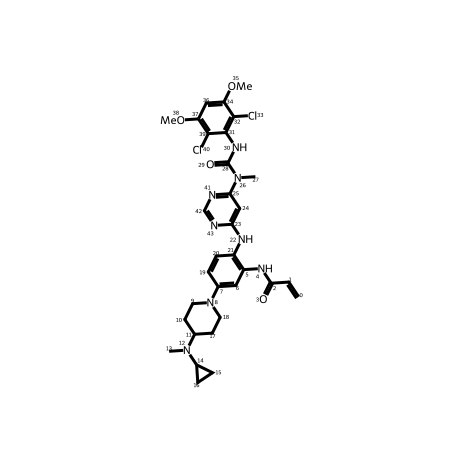 C=CC(=O)Nc1cc(N2CCC(N(C)C3CC3)CC2)ccc1Nc1cc(N(C)C(=O)Nc2c(Cl)c(OC)cc(OC)c2Cl)ncn1